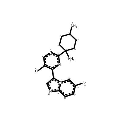 NC1CCC(N)(c2ncc(Cl)c(-c3cnc4ccc(Br)cn34)n2)CC1